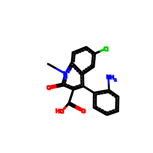 Cn1c(=O)c(C(=O)O)c(-c2ccccc2N)c2cc(Cl)ccc21